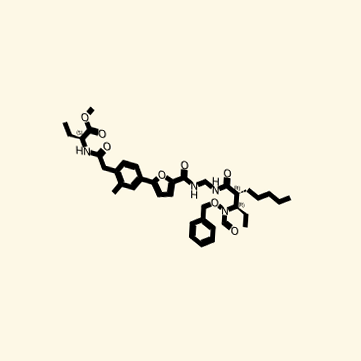 CCCCC[C@@H](C(=O)NCNC(=O)c1ccc(-c2ccc(CC(=O)N[C@@H](CC)C(=O)OC)c(C)c2)o1)[C@@H](CC)N(C=O)OCc1ccccc1